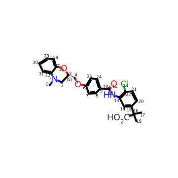 CN1C[C@@H](COc2ccc(C(=O)Nc3cc(C(C)(C)C(=O)O)ccc3Cl)cc2)Oc2ccccc21